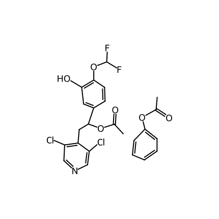 CC(=O)OC(Cc1c(Cl)cncc1Cl)c1ccc(OC(F)F)c(O)c1.CC(=O)Oc1ccccc1